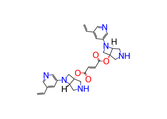 C=Cc1cncc(N2C[C@@]3(OC(=O)/C=C/C(=O)O[C@]45CNC[C@@H]4N(c4cncc(C=C)c4)C5)CNC[C@H]23)c1